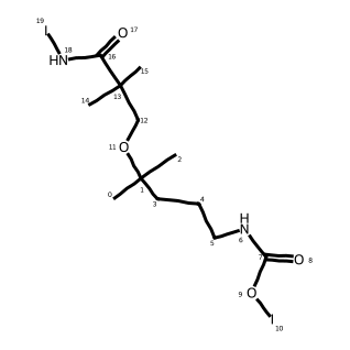 CC(C)(CCCNC(=O)OI)OCC(C)(C)C(=O)NI